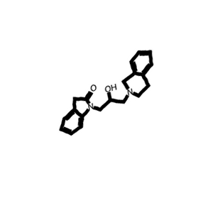 O=C1Cc2ccccc2N1CC(O)CN1CCc2ccccc2C1